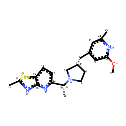 COc1cc(C[C@@H]2CCN([C@H](C)c3ccc4sc(C)nc4n3)C2)cc(C)n1